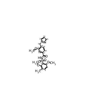 COc1ccc(C)c(OC)c1S(=O)(=O)NC(=O)c1ccc(Cn2cccn2)c(OC)n1